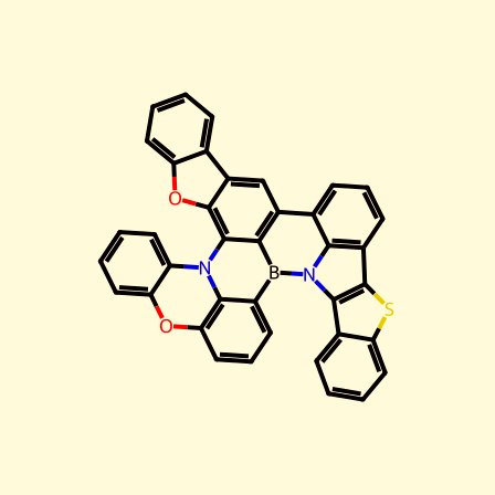 c1ccc2c(c1)Oc1cccc3c1N2c1c2c(cc4c1oc1ccccc14)-c1cccc4c5sc6ccccc6c5n(c14)B32